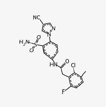 Cc1ccc(F)c(CC(=O)Nc2ccc(-n3cc(C#N)cn3)c(S(N)(=O)=O)c2)c1Cl